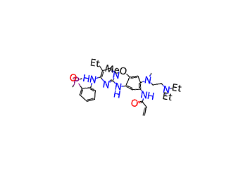 C=CC(=O)Nc1cc(Nc2ncc(CC)c(Nc3ccccc3P(C)(C)=O)n2)c(OC)cc1N(C)CCN(CC)CC